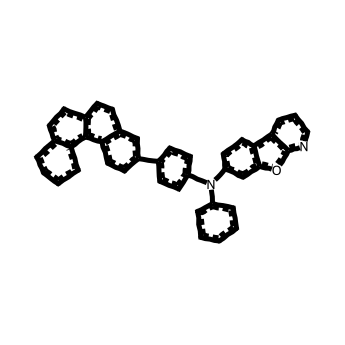 c1ccc(N(c2ccc(-c3ccc4c(ccc5ccc6ccccc6c54)c3)cc2)c2ccc3c(c2)oc2ncccc23)cc1